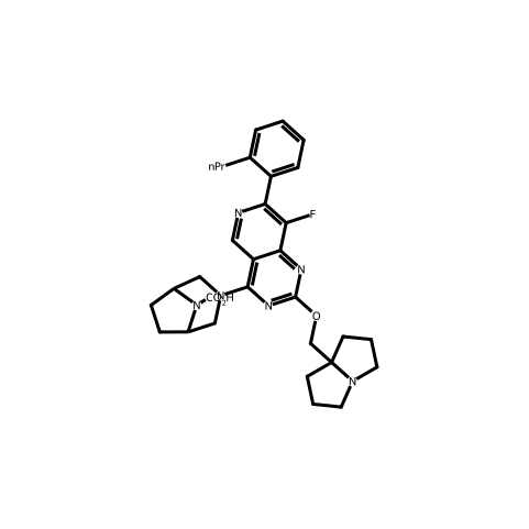 CCCc1ccccc1-c1ncc2c(N3CC4CCC(C3)N4C(=O)O)nc(OCC34CCCN3CCC4)nc2c1F